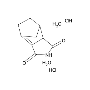 Cl.Cl.O.O.O=C1NC(=O)C2C1=C1CCC2C1